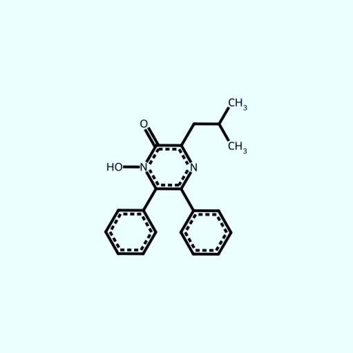 CC(C)Cc1nc(-c2ccccc2)c(-c2ccccc2)n(O)c1=O